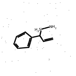 C=CC([SiH2]N)c1ccccc1